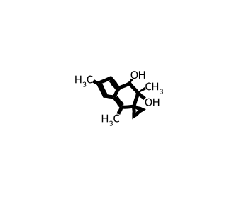 CC1=CC2=C(C)C3(CC3)[C@@](C)(O)[C@H](O)C2=C1